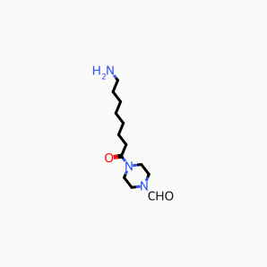 NCCCCCCCC(=O)N1CCN(C=O)CC1